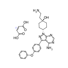 NCC[C@]1(O)CC[C@H](n2nc(-c3ccc(Oc4ccccc4)cc3)c3c(N)ncnc32)CC1.O=C(O)/C=C\C(=O)O